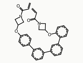 C=CC(=O)N1CC(Oc2ccc(-c3cccc(-c4cccc(-c5ccccc5OC5CN(C(=O)C=C)C5)c4)c3)cc2)C1